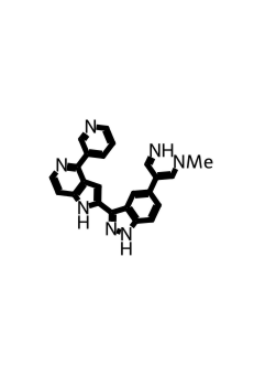 CN/C=C(\C=N)c1ccc2[nH]nc(-c3cc4c(-c5cccnc5)nccc4[nH]3)c2c1